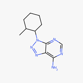 CC1CCCCC1n1nnc2c(N)ncnc21